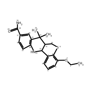 CCOc1cccc2c1SCC1C2Nc2ccc(C(N)=O)cc2C1(C)C